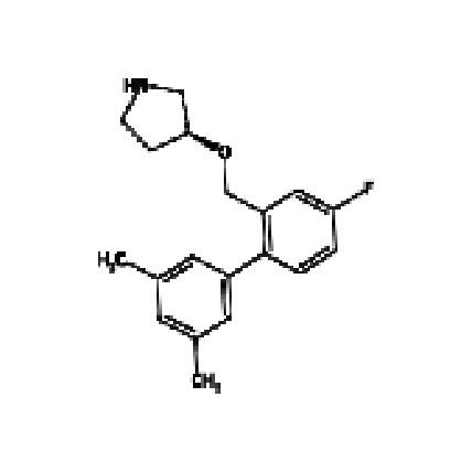 Cc1cc(C)cc(-c2ccc(F)cc2CO[C@H]2CCNC2)c1